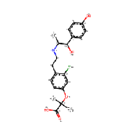 CC(NCCc1ccc(OC(C)(C)C(=O)O)cc1Cl)C(O)c1ccc(O)cc1